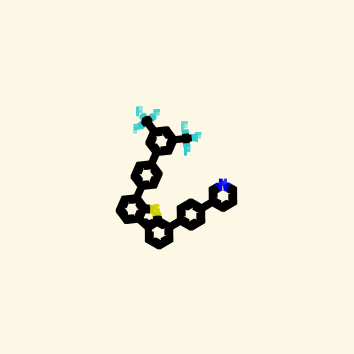 FC(F)(F)c1cc(-c2ccc(-c3cccc4c3sc3c(-c5ccc(-c6cccnc6)cc5)cccc34)cc2)cc(C(F)(F)F)c1